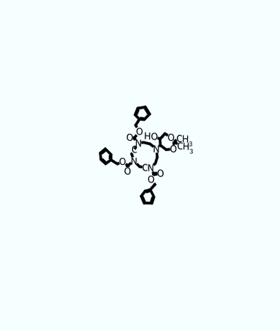 CC1(C)OCC(O)C(N2CCN(C(=O)OCc3ccccc3)CCN(C(=O)OCc3ccccc3)CCN(C(=O)OCc3ccccc3)CC2)CO1